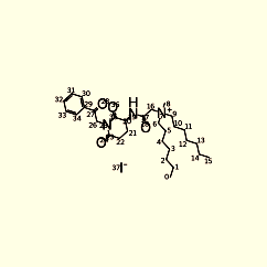 CCCCCCC[N+](C)(CCCCCCC)CC(=O)NC1CCC(=O)N(CC(=O)c2ccccc2)C1=O.[I-]